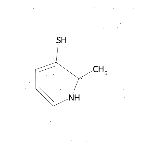 C[C]1NC=CC=C1S